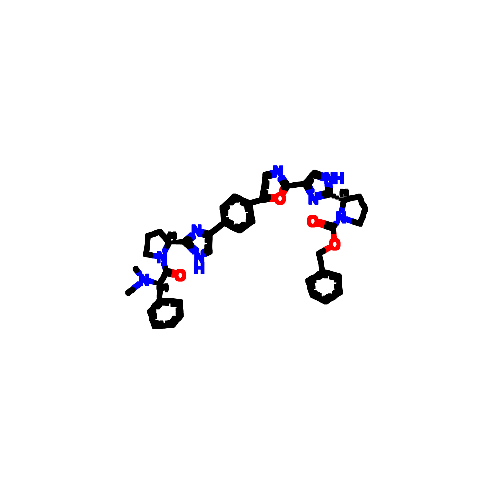 CN(C)[C@@H](C(=O)N1CCC[C@H]1c1nc(-c2ccc(-c3cnc(-c4c[nH]c([C@@H]5CCCN5C(=O)OCc5ccccc5)n4)o3)cc2)c[nH]1)c1ccccc1